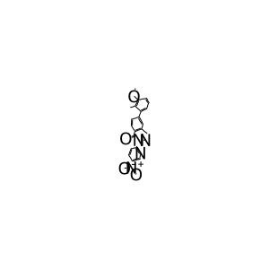 COc1cccc(-c2ccc3c(=O)n(-c4ccc([N+](=O)[O-])cn4)ncc3c2)c1C